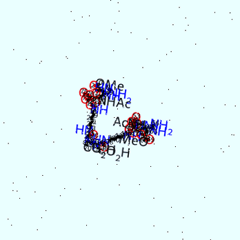 COC(=O)C1=C[C@H](NC(=N)N)[C@@H](NC(C)=O)[C@H]([C@H](OC(=O)NCCCCCCNC(=O)CN(CCN(CC(=O)O)CC(=O)NCCCCCCNC(=O)O[C@H](C2COC(=O)O2)[C@@H]2OC(C(=O)OC)=C[C@H](NC(=N)N)[C@H]2NC(C)=O)CC(=O)O)C2COC(=O)O2)O1